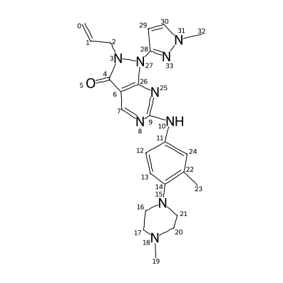 C=CCn1c(=O)c2cnc(Nc3ccc(N4CCN(C)CC4)c(C)c3)nc2n1-c1ccn(C)n1